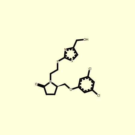 O=C1CC[C@H](COc2cc(Cl)cc(Cl)c2)N1CCSc1nc(CO)cs1